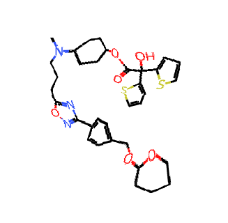 CN(CCCc1nc(-c2ccc(COC3CCCCO3)cc2)no1)C1CCC(OC(=O)C(O)(c2cccs2)c2cccs2)CC1